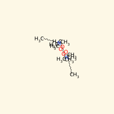 CCCCCCCCCCCCN1C(C)(C)CC(OC(=O)CCC(=O)OC2CC(C)(C)N(CCCCCCCCCCCC)C(C)(C)C2)CC1(C)C